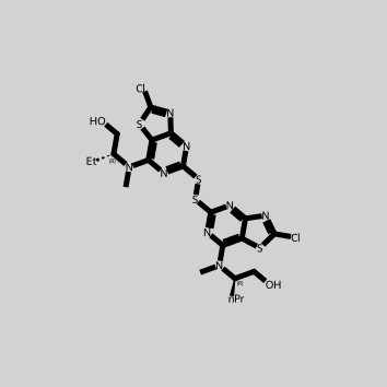 CCC[C@H](CO)N(C)c1nc(SSc2nc(N(C)[C@H](CC)CO)c3sc(Cl)nc3n2)nc2nc(Cl)sc12